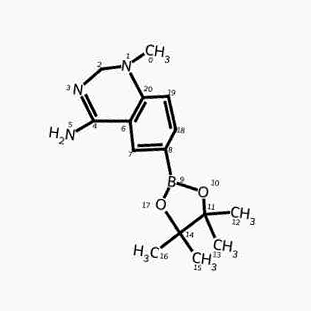 CN1CN=C(N)c2cc(B3OC(C)(C)C(C)(C)O3)ccc21